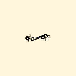 Cc1cccc(Cl)c1N1CCN(CC/C=C/c2ccc3c(c2)CCC(=O)N3)CC1